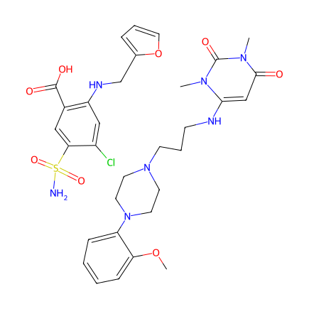 COc1ccccc1N1CCN(CCCNc2cc(=O)n(C)c(=O)n2C)CC1.NS(=O)(=O)c1cc(C(=O)O)c(NCc2ccco2)cc1Cl